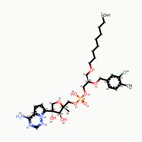 CCCCCCCCCCCCCCCCCCOC[C@H](COP(=O)(O)OC[C@@]1(C)OC[C@](O)(c2ccc3c(N)ncnn23)[C@@H]1O)OCc1ccc(C#N)c(Cl)c1